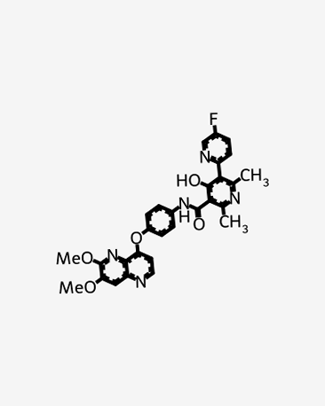 COc1cc2nccc(Oc3ccc(NC(=O)c4c(C)nc(C)c(-c5ccc(F)cn5)c4O)cc3)c2nc1OC